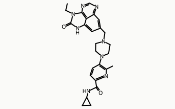 CCN1C(=O)Nc2cc(CN3CCN(c4ccc(C(=O)NC5CC5)nc4C)CC3)cc3ncnc1c23